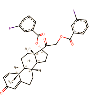 C[C@]12C=CC(=O)C=C1CC[C@@H]1[C@@H]2CC[C@@]2(C)[C@H]1CC[C@]2(OC(=O)c1cccc(I)c1)C(=O)COC(=O)c1cccc(I)c1